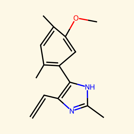 C=Cc1nc(C)[nH]c1-c1cc(OC)c(C)cc1C